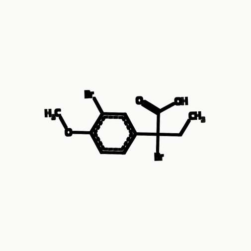 CCC(Br)(C(=O)O)c1ccc(OC)c(Br)c1